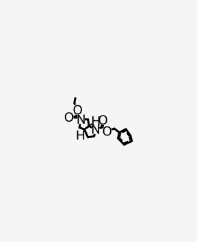 CCOC(=O)N1C[C@H]2CCN(C(=O)OCc3ccccc3)[C@H]2C1